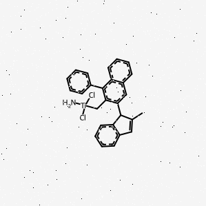 CC1=Cc2ccccc2C1c1cc2ccccc2c(-c2ccccc2)c1[CH2][Ti]([NH2])([Cl])[Cl]